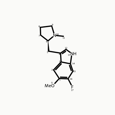 COc1cc2c(C[C@H]3CCCN3C)c[nH]c2cc1F